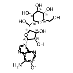 Nc1c2ncn([C@@H]3O[C@H](C(O)[C@H]4O[C@H](CO)[C@@H](O)[C@H](O)[C@H]4O)[C@@H](O)[C@H]3O)c2nc[n+]1[O-]